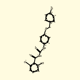 O=C(NC(=O)c1c(Cl)cccc1Cl)Nc1ccc(OCc2ccc(Cl)cc2)cc1